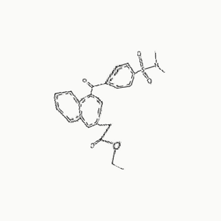 CCOC(=O)Cc1cc(C(=O)c2ccc(S(=O)(=O)N(C)C)cc2)c2ccccc2c1